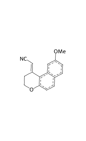 COc1ccc2ccc3c(c2c1)C(=CC#N)CCO3